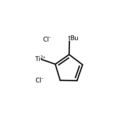 CC(C)(C)C1=[C]([Ti+2])CC=C1.[Cl-].[Cl-]